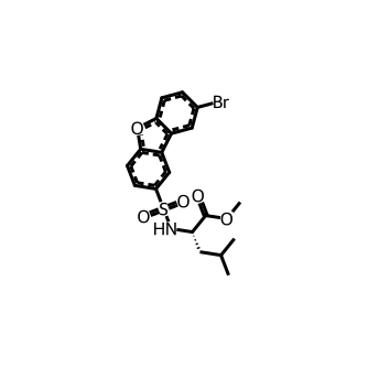 COC(=O)[C@H](CC(C)C)NS(=O)(=O)c1ccc2oc3ccc(Br)cc3c2c1